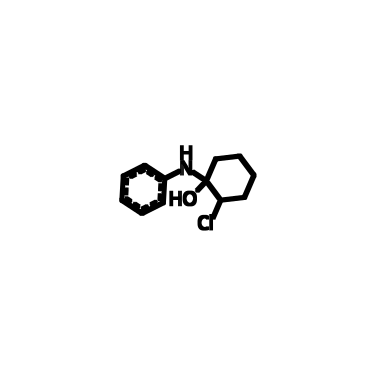 OC1(Nc2ccccc2)CCCCC1Cl